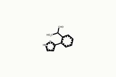 O=CC(C(=O)O)c1ccccc1-c1cc[nH]n1